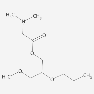 CCCOC(COC)COC(=O)CN(C)C